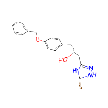 OC(Cc1ccc(OCc2ccccc2)cc1)Cc1n[nH]c(=S)[nH]1